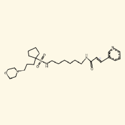 O=C(/C=C/c1cccnc1)NCCCCCCNS(=O)(=O)C1(CCCN2CCOCC2)CCCC1